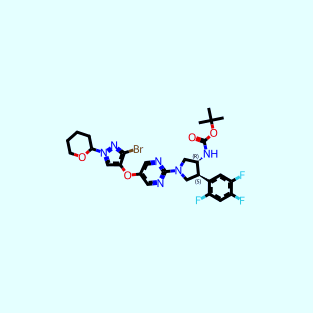 CC(C)(C)OC(=O)N[C@H]1CN(c2ncc(Oc3cn(C4CCCCO4)nc3Br)cn2)C[C@@H]1c1cc(F)c(F)cc1F